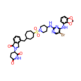 O=C1CCC(N2Cc3c(CC4CCCC(S(=O)(=O)N5CCC(Nc6ncc(Br)c(Nc7cccc8c7OCO8)n6)CC5)CC4)cccc3C2=O)C(=O)N1